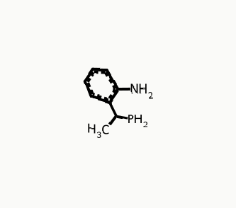 CC(P)c1ccccc1N